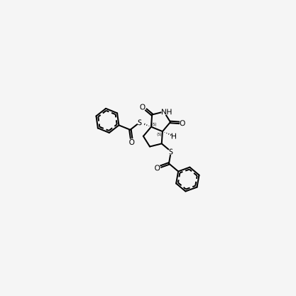 O=C(SC1CC[C@@]2(SC(=O)c3ccccc3)C(=O)NC(=O)[C@@H]12)c1ccccc1